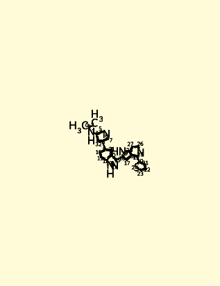 CC(C)Nc1cncc(-c2ccc3[nH]nc(-c4cc5c(-c6cccs6)nccc5[nH]4)c3c2)c1